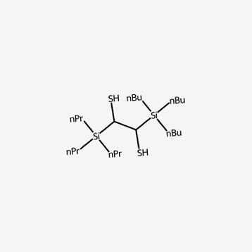 CCCC[Si](CCCC)(CCCC)C(S)C(S)[Si](CCC)(CCC)CCC